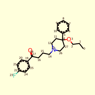 CCCOC1(c2ccccc2)CCN(CCCC(=O)c2ccc(F)cc2)CC1